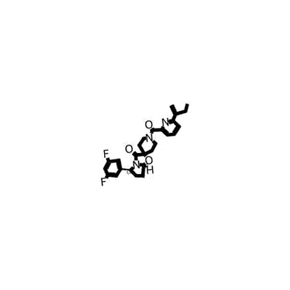 C=C(CC)c1cccc(C(=O)N2CCC3(CC2)O[C@@H]2CC[C@@H](c4cc(F)cc(F)c4)N2C3=O)n1